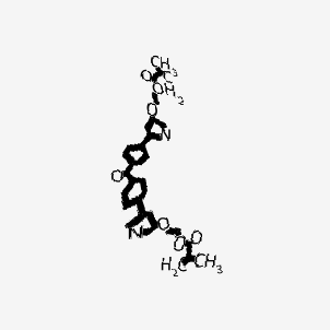 C=C(C)C(=O)OCCOc1cncc(-c2ccc(C(=O)c3ccc(-c4cncc(OCCOC(=O)C(=C)C)c4)cc3)cc2)c1